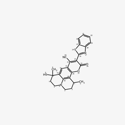 CC1CCN2CCC(C)(S)c3cc4c(C#N)c(-c5nc6ccccc6s5)c(=O)oc4c1c32